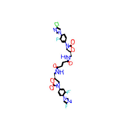 O=C(CCC(=O)NC[C@H]1CN(c2ccc(-n3cnc(Cl)c3)c(F)c2)C(=O)O1)NC[C@H]1CN(c2ccc(-n3cnc(F)c3)c(F)c2)C(=O)O1